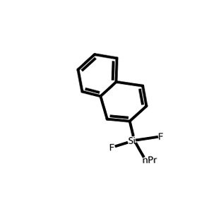 CCC[Si](F)(F)c1ccc2ccccc2c1